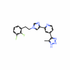 Cc1[nH]nnc1-c1ccnc(-c2cn(CCc3cccc(F)c3F)cn2)c1